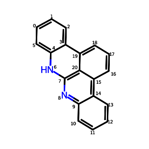 c1ccc2c(c1)Nc1nc3ccccc3c3cccc-2c13